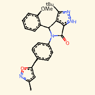 COc1ccccc1C1c2c(C(C)(C)C)n[nH]c2C(=O)N1c1ccc(-c2cc(C)no2)cc1